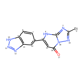 CCc1nc2[nH]c(-c3ccc4[nH]nnc4c3)cc(=O)n2n1